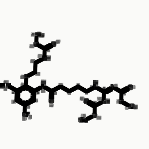 CC(C)(C)OC(=O)N=C(NCCCCC(=O)Nc1cc(C(F)(F)F)cc(N)c1SCCNC(=O)OC(C)(C)C)NC(=O)OC(C)(C)C